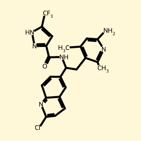 Cc1cc(N)nc(C)c1CC(NC(=O)c1cc(C(F)(F)F)[nH]n1)c1ccc2nc(Cl)ccc2c1